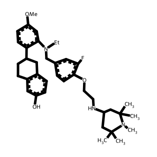 CCN(Cc1ccc(OCCNC2CC(C)(C)N(C)C(C)(C)C2)c(F)c1)c1cc(OC)ccc1C1CCc2cc(O)ccc2C1